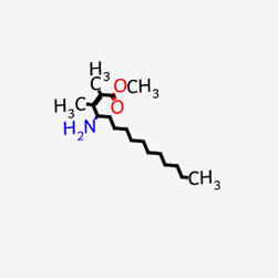 CCCCCCCCCCCC(N)C(C)=C(C)C(=O)OC